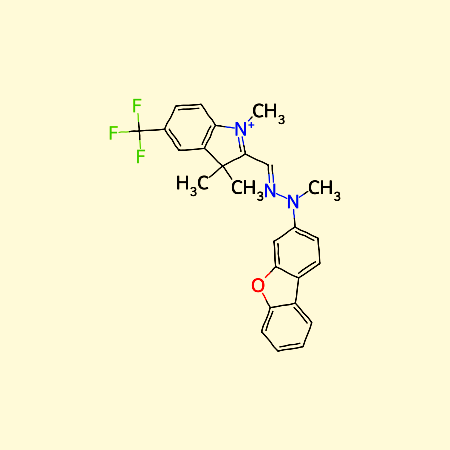 CN(N=CC1=[N+](C)c2ccc(C(F)(F)F)cc2C1(C)C)c1ccc2c(c1)oc1ccccc12